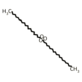 CCCCCCC=CCCCCCCCCCCCC(=O)OC(=O)CCCCCCCCCCCCCCCCCCC